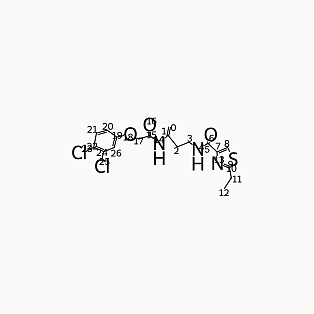 C=C(CCNC(=O)c1csc(CC)n1)NC(=O)COc1ccc(Cl)c(Cl)c1